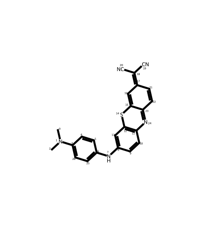 CN(C)c1ccc(Nc2ccc3c(c2)Sc2cc(=C(C#N)C#N)ccc2=N3)cc1